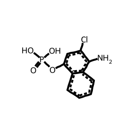 Nc1c(Cl)cc(OP(=O)(O)O)c2ccccc12